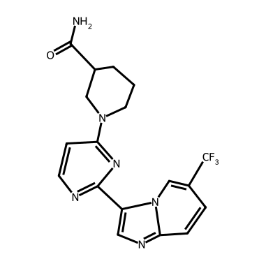 NC(=O)C1CCCN(c2ccnc(-c3cnc4ccc(C(F)(F)F)cn34)n2)C1